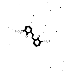 O=C(O)C1=CC=CC(CCC2C=CC=C(C(=O)O)C2=O)C1=O